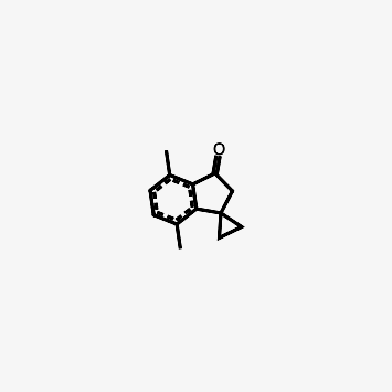 Cc1ccc(C)c2c1C(=O)CC21CC1